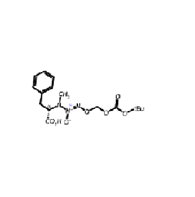 CN([C@@H](Cc1ccccc1)C(=O)O)/[N+]([O-])=N/OCOC(=O)OC(C)(C)C